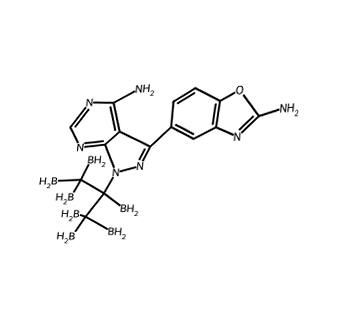 BC(B)(B)C(B)(n1nc(-c2ccc3oc(N)nc3c2)c2c(N)ncnc21)C(B)(B)B